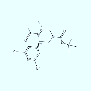 CC(=O)N1[C@H](C)CN(C(=O)OC(C)(C)C)C[C@H]1c1cc(Cl)nc(Br)c1